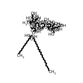 CCCCCCCCCCCCC/C=C/[C@@H](O)[C@H](CO[C@@H]1OC(CO)[C@@H](O[C@@H]2OC(CO)[C@H](O[C@@H]3OC(CO)[C@H](O)[C@H](O[C@@H]4OC(CO)[C@H](O)[C@H](O[C@]5(C(=O)O)CC(O)[C@@H](NC(=O)CO)C([C@H](O)[C@H](O)CO)O5)C4O)C3NC(C)=O)[C@H](O[C@]3(C(=O)O)CC(O)[C@@H](NC(C)=O)C([C@H](O)[C@H](O)CO)O3)C2O)[C@H](O)C1O)NC(=O)CCCCCCCCCCCCCCCCCCCCCCCCC